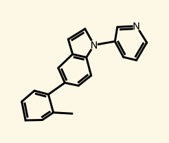 Cc1ccccc1-c1ccc2c(ccn2-c2cccnc2)c1